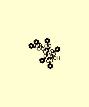 CC1C(OC2OC3COC(c4ccccc4)OC3C(O)C2OC(=O)c2ccccc2)C(COCc2ccccc2)OC(OCN(Cc2ccccc2)C(=O)OCc2ccccc2)C1OC(=O)c1ccccc1